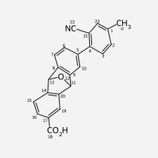 Cc1ccc(-c2ccc3c(c2)C2OC3c3ccc(C(=O)O)cc32)c(C#N)c1